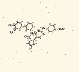 COc1ccc(Nc2ncc3c4n[nH]cc4c(=O)n(-c4cccc(-c5ccc(F)c(C)c5)c4)c3n2)cc1